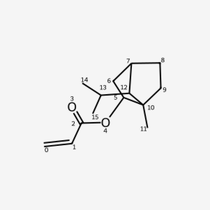 C=CC(=O)OC1CC2CCC1(C)C2C(C)C